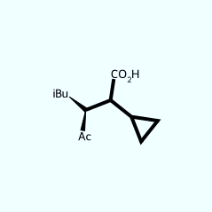 CC[C@H](C)[C@H](C(C)=O)C(C(=O)O)C1CC1